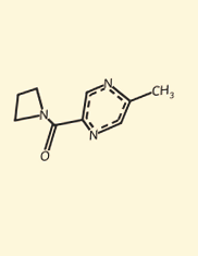 Cc1cnc(C(=O)N2CCC2)cn1